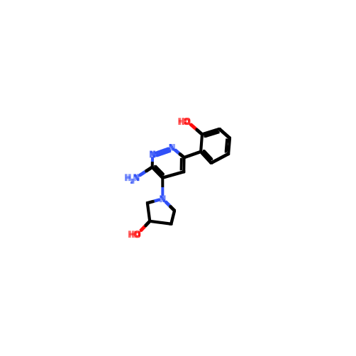 Nc1nnc(-c2ccccc2O)cc1N1CCC(O)C1